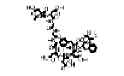 CCNC(CC(=O)O)C(=O)NC(CC(=O)O)C(=O)NCC(=O)NCC(=O)NCC(=O)NC(CC(=O)O)C(=O)NC(CC(=O)O)C(=O)NC(CC(=O)O)C(=O)NC(Cc1ccccc1)C(=O)NC(Cc1ccccc1)C(=O)NC(C)C(N)=O